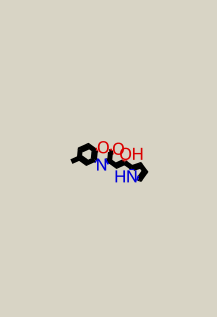 Cc1ccc2oc(=O)c(/C=C(\O)c3ccc[nH]3)nc2c1